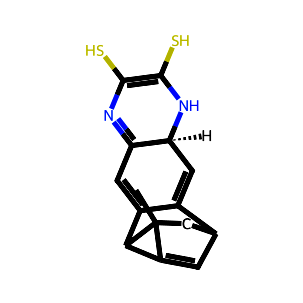 CC12CC3C=C1C2C1=CC2=NC(S)=C(S)N[C@H]2C=C13